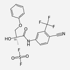 C[C@](O)(COc1ccccc1)C(=O)Nc1ccc(C#N)c(C(F)(F)F)c1.O=S(=O)(F)F